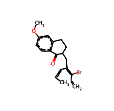 C=C/C(Br)=C(\C=C/C)CC1CCc2cc(OC)ccc2C1=O